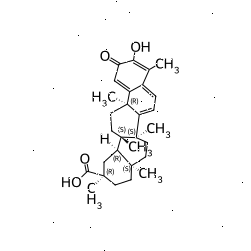 CC1=C(O)C(=O)C=C2C1=CC=C1[C@@]2(C)CC[C@@]2(C)[C@@H]3C[C@](C)(C(=O)O)CC[C@]3(C)CC[C@]12C